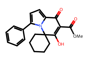 COC(=O)C1=C(O)C2(CCCCC2)n2c(ccc2-c2ccccc2)C1=O